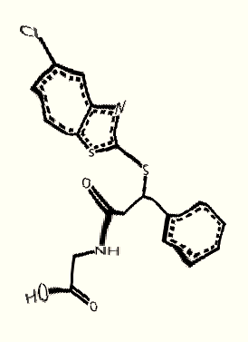 O=C(O)CNC(=O)C(Sc1nc2cc(Cl)ccc2s1)c1ccccc1